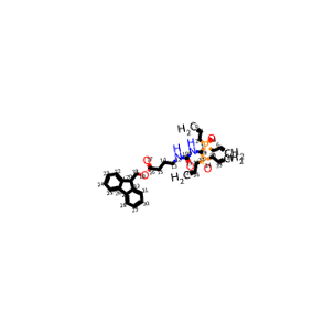 C=CCP(=O)(CC=C)C(NC(=O)NCCCC(=O)OCC1c2ccccc2-c2ccccc21)P(=O)(CC=C)CC=C